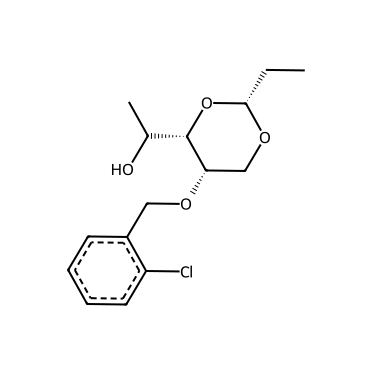 CC[C@@H]1OC[C@H](OCc2ccccc2Cl)[C@H](C(C)O)O1